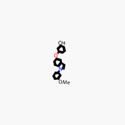 [CH]c1cccc(Oc2ccc3c(ccn3-c3cccc(OC)c3)c2)c1